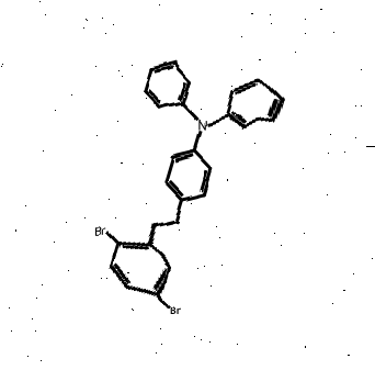 Brc1ccc(Br)c(CCc2ccc(N(c3ccccc3)c3ccccc3)cc2)c1